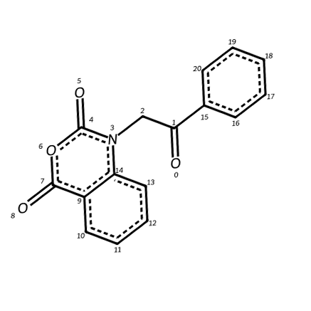 O=C(Cn1c(=O)oc(=O)c2ccccc21)c1ccccc1